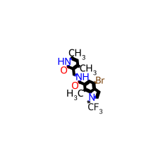 Cc1cc(C)c(CNC(=O)c2cc(Br)c3ccn(CC(F)(F)F)c3c2C)c(=O)[nH]1